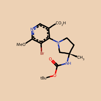 COc1ncc(C(=O)O)c(N2CC[C@](C)(NC(=O)OC(C)(C)C)C2)c1Br